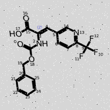 O=C(N/C(=C\c1ccc(C(F)(F)F)nc1)C(=O)O)OCc1ccccc1